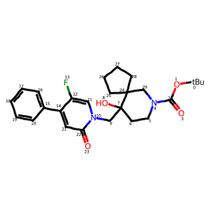 CC(C)(C)OC(=O)N1CCC(O)(Cn2cc(F)c(-c3ccccc3)cc2=O)C2(CCCC2)C1